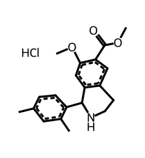 COC(=O)c1cc2c(cc1OC)C(c1ccc(C)cc1C)NCC2.Cl